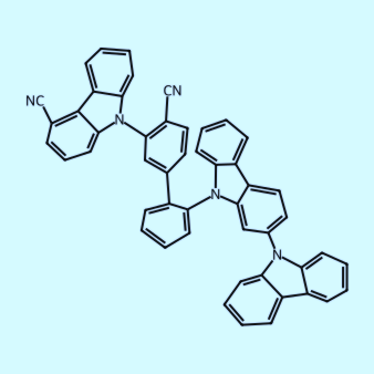 N#Cc1ccc(-c2ccccc2-n2c3ccccc3c3ccc(-n4c5ccccc5c5ccccc54)cc32)cc1-n1c2ccccc2c2c(C#N)cccc21